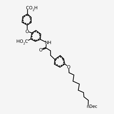 CCCCCCCCCCCCCCCCCCOc1ccc(CCC(=O)Nc2ccc(Oc3ccc(C(=O)O)cc3)c(C(=O)O)c2)cc1